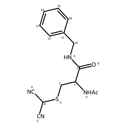 CC(=O)NC(CSC(C#N)C#N)C(=O)NCc1ccccc1